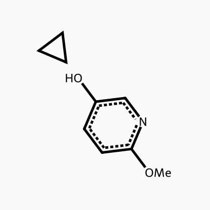 C1CC1.COc1ccc(O)cn1